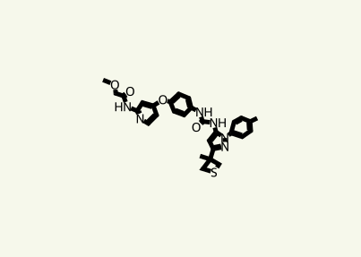 COCC(=O)Nc1cc(Oc2ccc(NC(=O)Nc3cc(C4(C)CSC4)nn3-c3ccc(C)cc3)cc2)ccn1